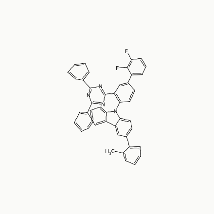 Cc1ccccc1-c1ccc2c(c1)c1ccccc1n2-c1ccc(-c2cccc(F)c2F)cc1-c1nc(-c2ccccc2)nc(-c2ccccc2)n1